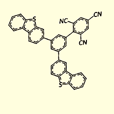 N#Cc1cc(C#N)c(-c2cc(-c3ccc4c(c3)sc3ccccc34)cc(-c3ccc4sc5ccccc5c4c3)c2)c(C#N)c1